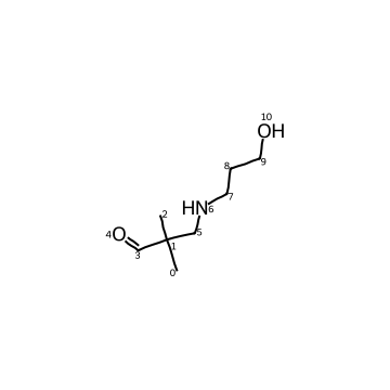 CC(C)(C=O)CNCCCO